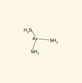 [SiH3][As]([SiH3])[SiH3]